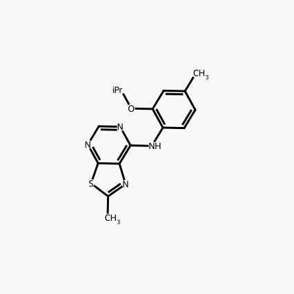 Cc1ccc(Nc2ncnc3sc(C)nc23)c(OC(C)C)c1